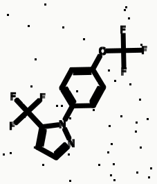 FC(F)(F)Oc1ccc(-n2nc[c]c2C(F)(F)F)cc1